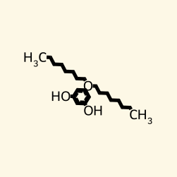 CCCCCCCCOCCCCCCCC.Oc1cccc(O)c1